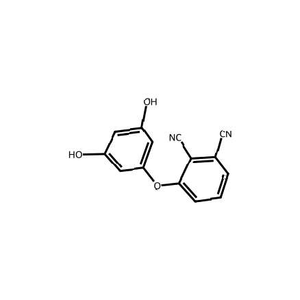 N#Cc1cccc(Oc2cc(O)cc(O)c2)c1C#N